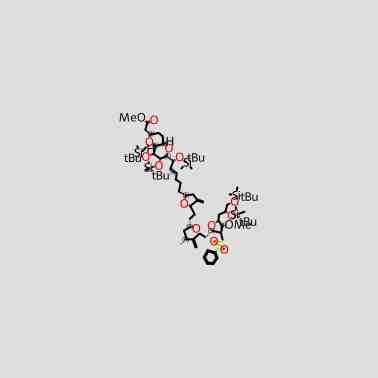 C=C1C[C@H](CCC/C=C/C(O[Si](C)(C)C(C)(C)C)[C@@H]2O[C@H]3CC[C@H](CC(=O)OC)O[C@@H]3C(O[Si](C)(C)C(C)(C)C)C2O[Si](C)(C)C(C)(C)C)OC1CC[C@H]1C[C@@H](C)C(=C)C(C[C@@H]2OC(CC(CO[Si](C)(C)C(C)(C)C)O[Si](C)(C)C(C)(C)C)[C@H](OC)C2CS(=O)(=O)c2ccccc2)O1